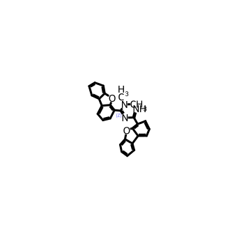 CN(C)/C(=N\C(=N)c1cccc2c1oc1ccccc12)c1cccc2c1oc1ccccc12